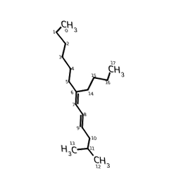 CCCCCC/C(=C/C=C/CC(C)C)CCCC